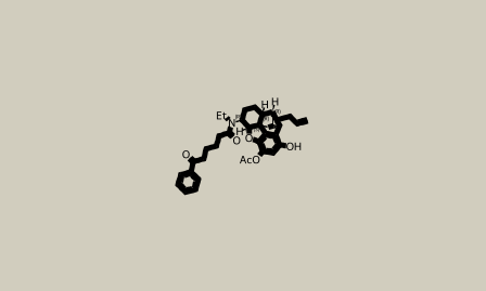 C=CCN1CC[C@]23c4c5c(O)cc(OC(C)=O)c4O[C@H]2[C@H](N(CC)C(=O)CCCCC(=O)c2ccccc2)CC[C@H]3[C@H]1C5